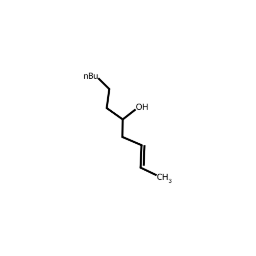 CC=CCC(O)CCCCCC